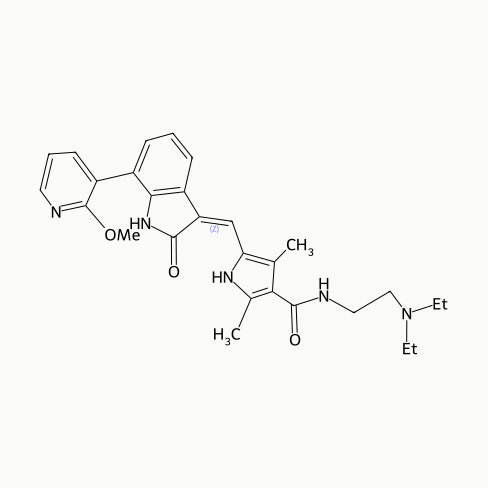 CCN(CC)CCNC(=O)c1c(C)[nH]c(/C=C2\C(=O)Nc3c2cccc3-c2cccnc2OC)c1C